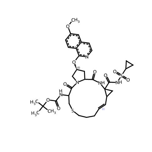 COc1ccc2c(O[C@H]3CC4C(=O)NC5(C(=O)NS(=O)(=O)C6CC6)CC5/C=C/CCCSCC(NC(=O)OC(C)(C)C)C(=O)N4C3)nccc2c1